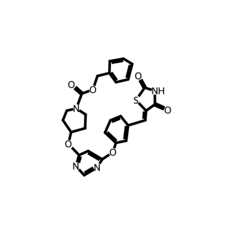 O=C1NC(=O)/C(=C/c2cccc(Oc3cc(OC4CCN(C(=O)OCc5ccccc5)CC4)ncn3)c2)S1